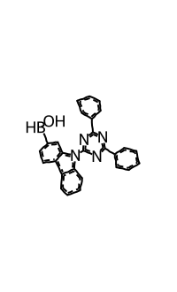 OBc1ccc2c3ccccc3n(-c3nc(-c4ccccc4)nc(-c4ccccc4)n3)c2c1